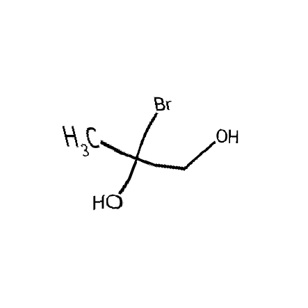 CC(O)(Br)CO